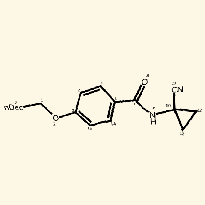 CCCCCCCCCCCOc1ccc(C(=O)NC2(C#N)CC2)cc1